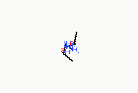 CCCCCCCCCCC(C)NC(=O)CCN(CCN)CCN(CCN)CCC(=O)NC(C)CCCCCCCCCC